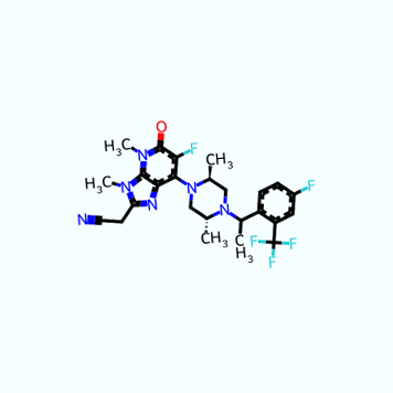 CC(c1ccc(F)cc1C(F)(F)F)N1C[C@H](C)N(c2c(F)c(=O)n(C)c3c2nc(CC#N)n3C)C[C@H]1C